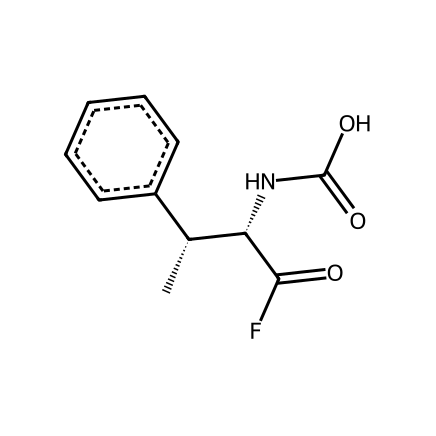 C[C@H](c1ccccc1)[C@H](NC(=O)O)C(=O)F